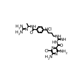 CC(N=C(N)N)NC(=O)c1ccc(CCCCNC(=N)NC(=O)c2nc(Cl)c(N)nc2N)cc1.Cl